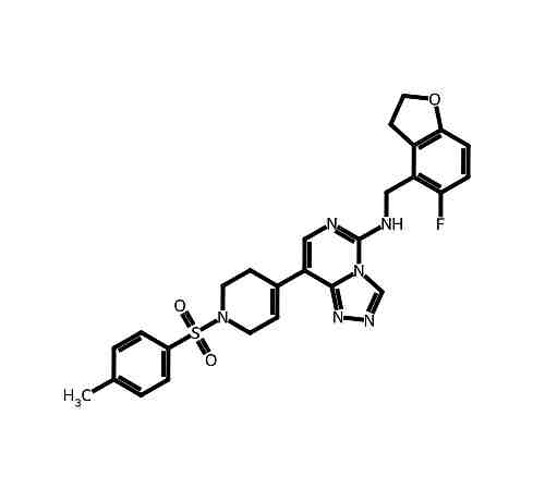 Cc1ccc(S(=O)(=O)N2CC=C(c3cnc(NCc4c(F)ccc5c4CCO5)n4cnnc34)CC2)cc1